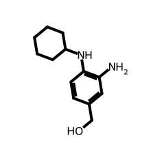 Nc1cc(CO)ccc1NC1CCCCC1